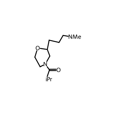 CNCCCC1CN(C(=O)C(C)C)CCO1